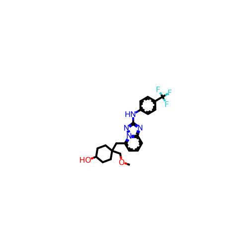 COCC1(Cc2cccc3nc(Nc4ccc(C(F)(F)F)cc4)nn23)CCC(O)CC1